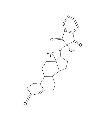 CC12CCC3C4CCC(=O)C=C4CCC3C1CCC2OC1(O)C(=O)c2ccccc2C1=O